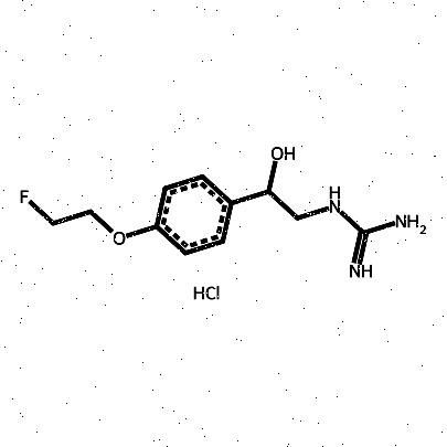 Cl.N=C(N)NCC(O)c1ccc(OCCF)cc1